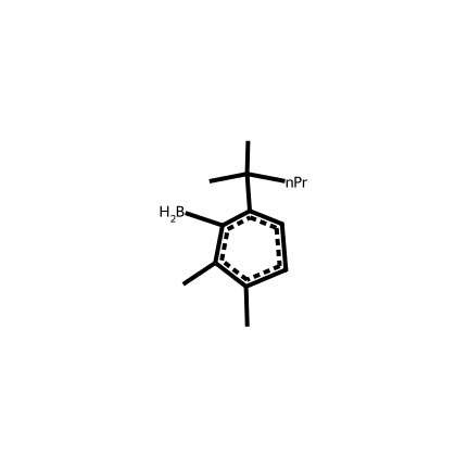 Bc1c(C(C)(C)CCC)ccc(C)c1C